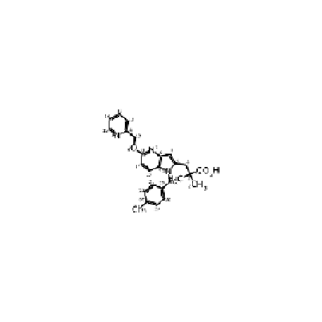 CC(C)(Cc1cc2nc(OCc3ccccn3)ccc2n1Cc1ccc(Cl)cc1)C(=O)O